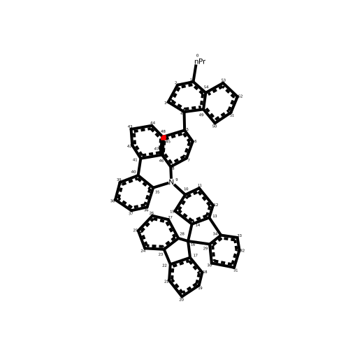 CCCc1ccc(-c2ccc(N(c3ccc4c(c3)C3(c5ccccc5-c5ccccc53)c3ccccc3-4)c3ccccc3-c3ccccc3)cc2)c2ccccc12